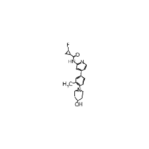 Cc1cc(-c2ccnc(NC(=O)C3C[C@H]3F)c2)ccc1N1CCC(O)CC1